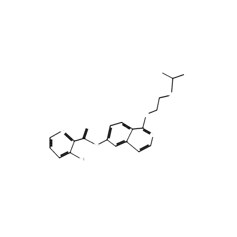 CC(C)OCCOc1nccc2cc(NC(=O)c3ncccc3N)ccc12